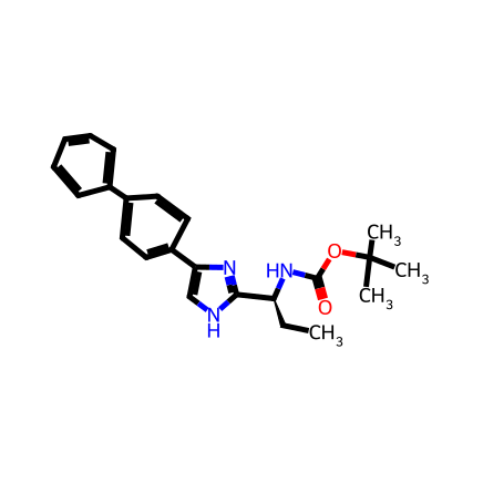 CC[C@H](NC(=O)OC(C)(C)C)c1nc(-c2ccc(-c3ccccc3)cc2)c[nH]1